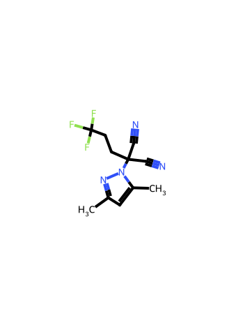 Cc1cc(C)n(C(C#N)(C#N)CCC(F)(F)F)n1